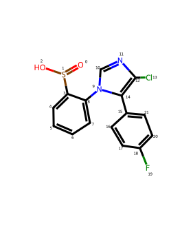 O=S(O)c1ccccc1-n1cnc(Cl)c1-c1ccc(F)cc1